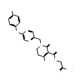 O=C(O)CNC(=O)C1=C(O)CCN(Cc2cnc(Oc3ccc(Cl)cc3)cn2)C1=O